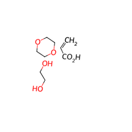 C1COCCO1.C=CC(=O)O.OCCO